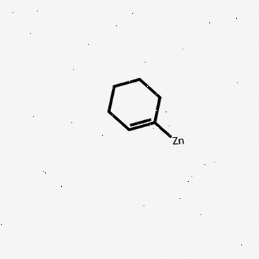 [Zn][C]1=CCCCC1